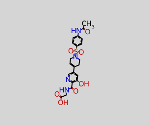 CC(=O)Nc1ccc(S(=O)(=O)N2CC=C(c3cnc(C(=O)NCC(=O)O)c(O)c3)CC2)cc1